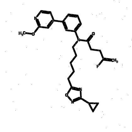 C=C(F)CCC(=O)N(CCCCCc1nc(C2CC2)no1)c1cccc(-c2ccnc(OC)c2)c1